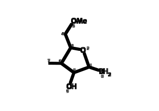 BC1OC(COC)C(C)C1O